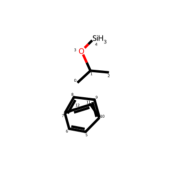 CC(C)O[SiH3].c1cc2ccc1cc2